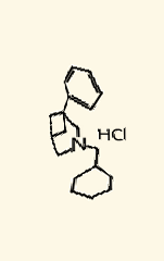 Cl.c1ccc(C23CC(CN(CC4CCCCC4)C2)C3)cc1